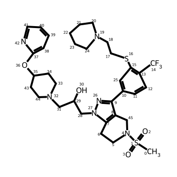 CS(=O)(=O)N1CCc2c(c(-c3ccc(C(F)(F)F)c(SCCN4CCCCC4)c3)nn2CC(O)CN2CCC(Oc3ccccn3)CC2)C1